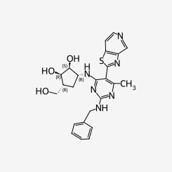 Cc1nc(NCc2ccccc2)nc(N[C@@H]2C[C@H](CO)[C@@H](O)[C@H]2O)c1-c1nc2cnccc2s1